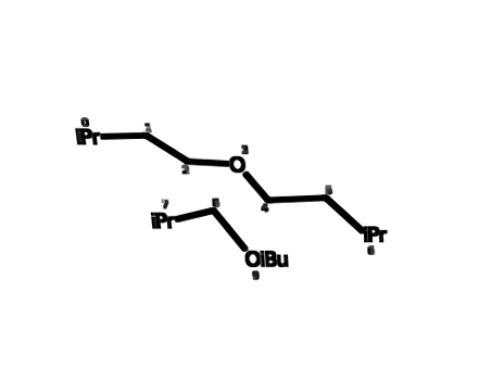 CC(C)CCOCCC(C)C.CC(C)COCC(C)C